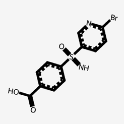 N=S(=O)(c1ccc(C(=O)O)cc1)c1ccc(Br)nc1